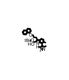 Cc1ccc2c(CCCOc3cccc4ccccc34)c(C(O)OC(C)(C)C)[nH]c2c1-c1c(C)nn(C)c1C